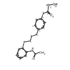 CC(=O)Nc1ccccc1CCCCc1ccc(CC(=O)NO)cc1